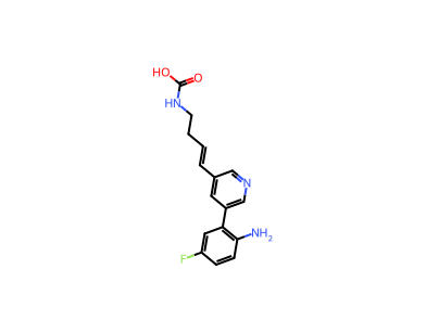 Nc1ccc(F)cc1-c1cncc(C=CCCNC(=O)O)c1